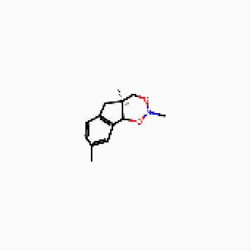 Cc1ccc2c(c1)C1ON(C)OC[C@]1(C)C2